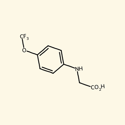 O=C(O)CNc1ccc(OC(F)(F)F)cc1